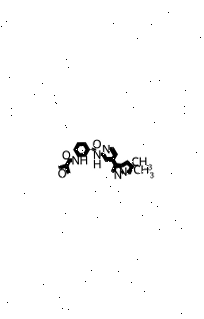 CC1(C)Cc2c(-c3ccnc(NC(=O)[C@H]4CCC[C@@H](NC(=O)C5COC5)C4)c3)cnn2C1